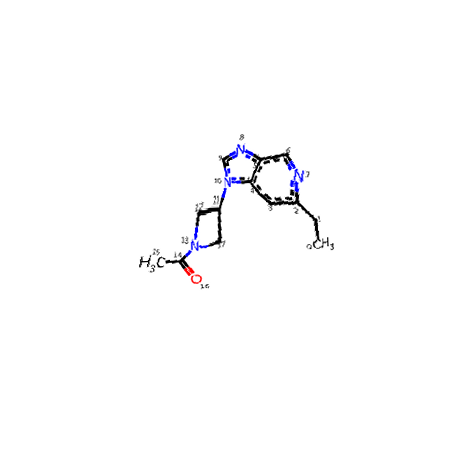 CCc1cc2c(cn1)ncn2C1CN(C(C)=O)C1